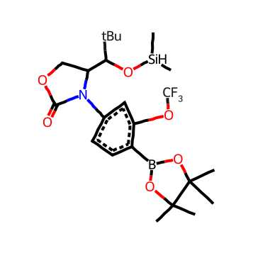 C[SiH](C)OC(C1COC(=O)N1c1ccc(B2OC(C)(C)C(C)(C)O2)c(OC(F)(F)F)c1)C(C)(C)C